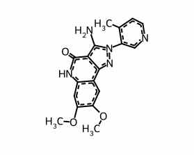 COc1cc2[nH]c(=O)c3c(N)n(-c4cnccc4C)nc3c2cc1OC